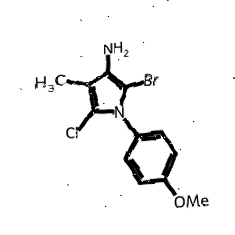 COc1ccc(-n2c(Cl)c(C)c(N)c2Br)cc1